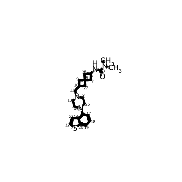 CN(C)C(=O)NC1CC2(CC(CN3CCN(c4cccc5sccc45)CC3)C2)C1